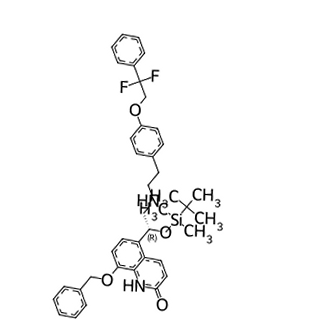 CC(C)(C)[Si](C)(C)O[C@@H](CNCCc1ccc(OCC(F)(F)c2ccccc2)cc1)c1ccc(OCc2ccccc2)c2[nH]c(=O)ccc12